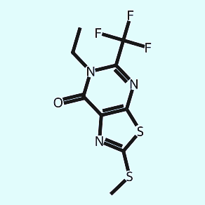 CCn1c(C(F)(F)F)nc2sc(SC)nc2c1=O